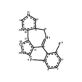 Fc1cccc(F)c1C1=NCc2cncnc2-c2oncc21